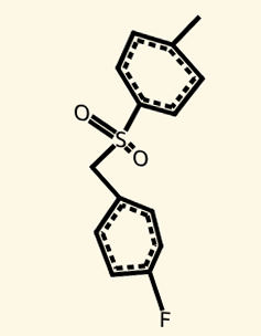 Cc1ccc(S(=O)(=O)Cc2ccc(F)cc2)cc1